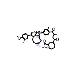 COc1ccc(C2=CN=C3/C(Nc4ccc(C(=O)C(C)CC(=O)C5=CCCNC(C(=O)O)C5)c(C)c4)=C/C/C=C\CCC23)cc1F